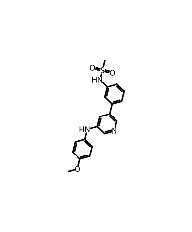 COc1ccc(Nc2cncc(-c3cccc(NS(C)(=O)=O)c3)c2)cc1